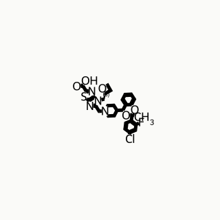 CC1(c2ccc(Cl)cc2F)Oc2ccccc2C(C2CCN(Cc3nc4sc(C(=O)O)nc4n3C[C@@H]3CCO3)CC2)O1